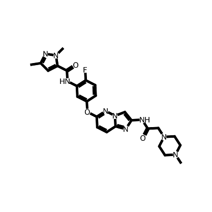 Cc1cc(C(=O)Nc2cc(Oc3ccc4nc(NC(=O)CN5CCN(C)CC5)cn4n3)ccc2F)n(C)n1